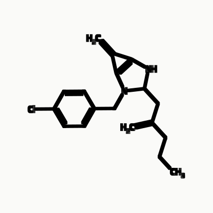 C=C(CCC)CC1NC2=C(C2=C)N1Cc1ccc(Cl)cc1